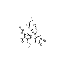 CCCC(C)(C)C[C@H]1[C@H](C(=O)O)[C@@H](c2ccc3c(c2)OCO3)CN1C.CCCCN(C=O)CCCC